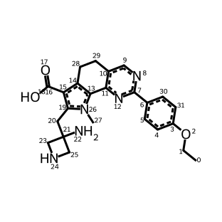 CCOc1ccc(-c2ncc3c(n2)-c2c(c(C(=O)O)c(CC4(N)CNC4)n2C)CC3)cc1